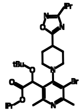 Cc1nc(C)c(C(OC(C)(C)C)C(=O)OC(C)C)c(N2CCC(c3nc(C(C)C)no3)CC2)c1Br